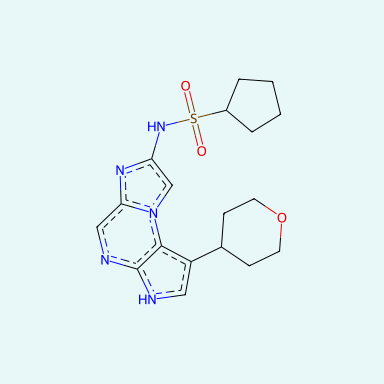 O=S(=O)(Nc1cn2c(cnc3[nH]cc(C4CCOCC4)c32)n1)C1CCCC1